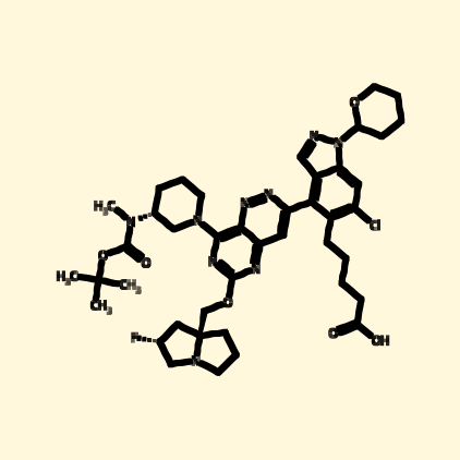 CN(C(=O)OC(C)(C)C)[C@@H]1CCCN(c2nc(OC[C@@]34CCCN3C[C@H](F)C4)nc3cc(-c4c(CCCCC(=O)O)c(Cl)cc5c4cnn5C4CCCCO4)nnc23)C1